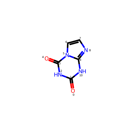 O=c1[nH]c(=O)n2ccnc2[nH]1